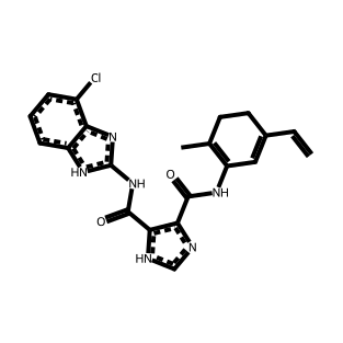 C=CC1=CC(NC(=O)c2nc[nH]c2C(=O)Nc2nc3c(Cl)cccc3[nH]2)=C(C)CC1